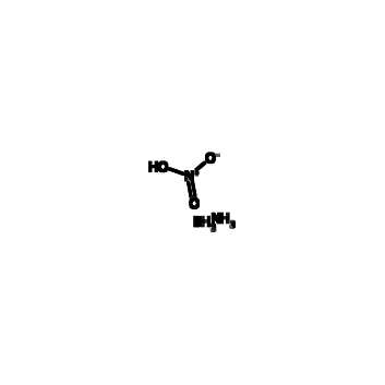 B.N.O=[N+]([O-])O